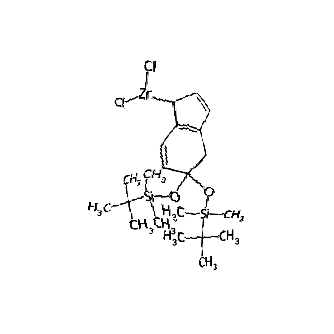 CC(C)(C)[Si](C)(C)OC1(O[Si](C)(C)C(C)(C)C)C=CC2=C(C=C[CH]2[Zr]([Cl])[Cl])C1